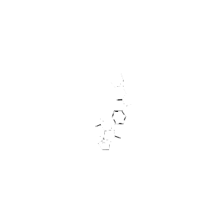 CCN(CC)CC(=O)N(C)c1ccc(N2C(=O)N3CC[CH][C@@H]3C2C(N)=O)cc1